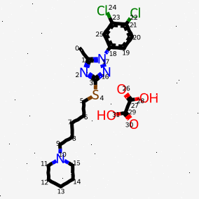 Cc1nc(SCCCCCN2CCCCC2)nn1-c1ccc(Cl)c(Cl)c1.O=C(O)C(=O)O